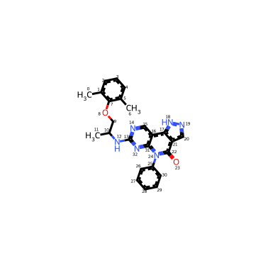 Cc1cccc(C)c1OCC(C)Nc1ncc2c3[nH]ncc3c(=O)n(-c3ccccc3)c2n1